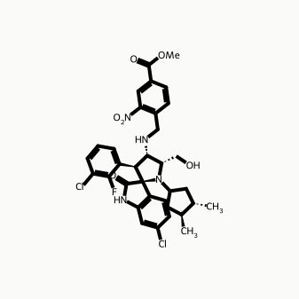 COC(=O)c1ccc(CN[C@@H]2[C@H](CO)N(C3C[C@H](C)[C@@H](C)C3)[C@@]3(C(=O)Nc4cc(Cl)ccc43)[C@H]2c2cccc(Cl)c2F)c([N+](=O)[O-])c1